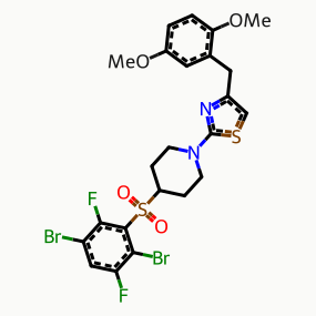 COc1ccc(OC)c(Cc2csc(N3CCC(S(=O)(=O)c4c(F)c(Br)cc(F)c4Br)CC3)n2)c1